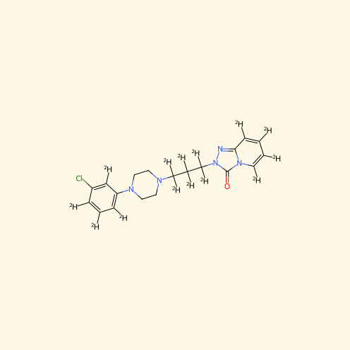 [2H]c1c([2H])c(Cl)c([2H])c(N2CCN(C([2H])([2H])C([2H])([2H])C([2H])([2H])n3nc4c([2H])c([2H])c([2H])c([2H])n4c3=O)CC2)c1[2H]